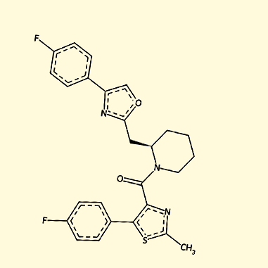 Cc1nc(C(=O)N2CCCC[C@@H]2Cc2nc(-c3ccc(F)cc3)co2)c(-c2ccc(F)cc2)s1